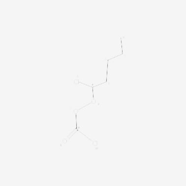 CCCCC(Cl)OOC(=O)Cl